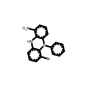 O=[N+]([O-])c1cccc2c1Nc1cccc(Br)c1N2c1ccccc1